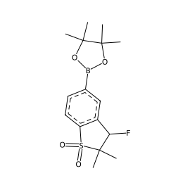 CC1(C)OB(c2ccc3c(c2)C(F)C(C)(C)S3(=O)=O)OC1(C)C